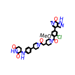 COc1cc(-c2cn(C)c(=O)c3[nH]ncc23)cc(Cl)c1C(=O)N1CCC(CC(=O)N2CCC(c3ccc(NC4CCC(=O)NC4=O)cc3)CC2)CC1